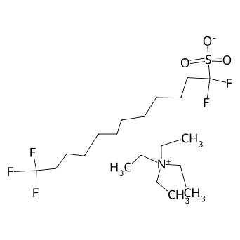 CC[N+](CC)(CC)CC.O=S(=O)([O-])C(F)(F)CCCCCCCCCCC(F)(F)F